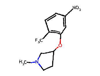 CN1CCC(Oc2cc([N+](=O)[O-])ccc2C(F)(F)F)C1